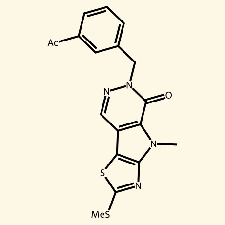 CSc1nc2c(s1)c1cnn(Cc3cccc(C(C)=O)c3)c(=O)c1n2C